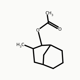 CC(=O)OC1C(C)CC2CCCC1C2